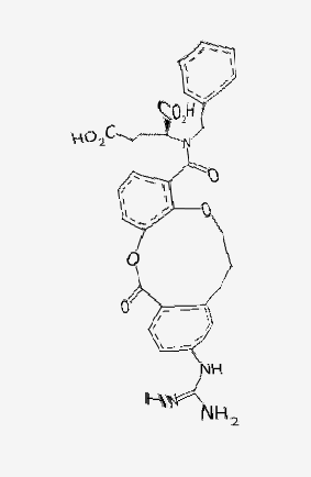 N=C(N)Nc1ccc2c(c1)CCCOc1c(cccc1C(=O)N(Cc1ccccc1)[C@@H](CC(=O)O)C(=O)O)OC2=O